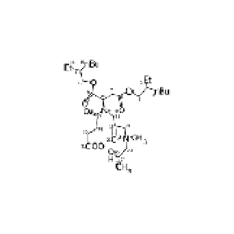 CCCCC(CC)COC(=O)CC(C(=O)OCC(CC)CCCC)N(CCC[N+](C)(C)CC(C)O)C(=O)CCC(=O)[O-]